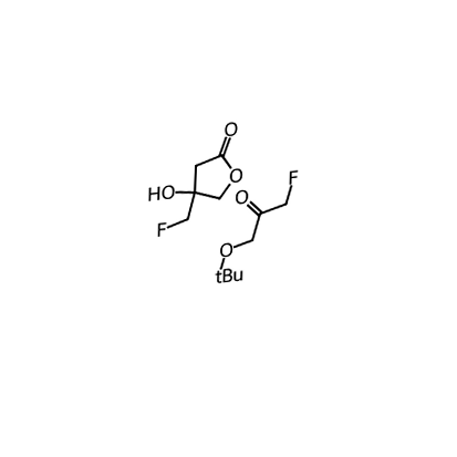 CC(C)(C)OCC(=O)CF.O=C1CC(O)(CF)CO1